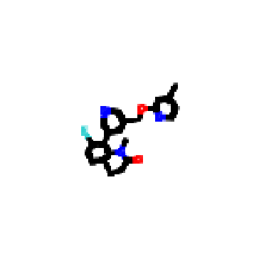 Cc1ccnc(OCc2cncc(-c3c(F)ccc4c3N(C)C(=O)CC4)c2)c1